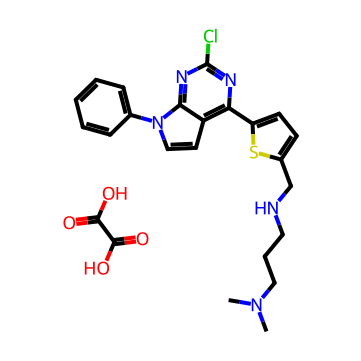 CN(C)CCCNCc1ccc(-c2nc(Cl)nc3c2ccn3-c2ccccc2)s1.O=C(O)C(=O)O